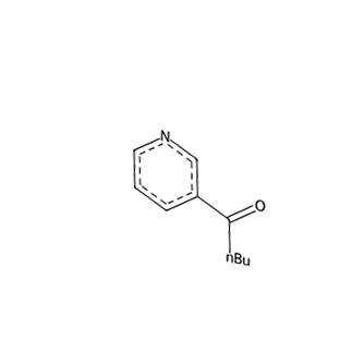 [CH2]CCCC(=O)c1cccnc1